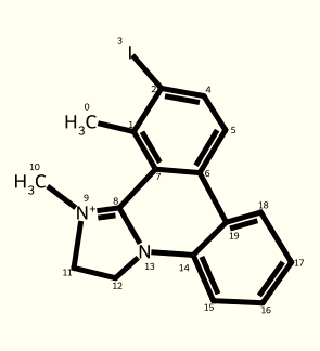 Cc1c(I)ccc2c1C1=[N+](C)CCN1c1ccccc1-2